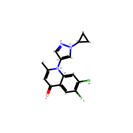 Cc1cc(=O)c2cc(F)c(Br)cc2n1-c1cnn(C2CC2)c1